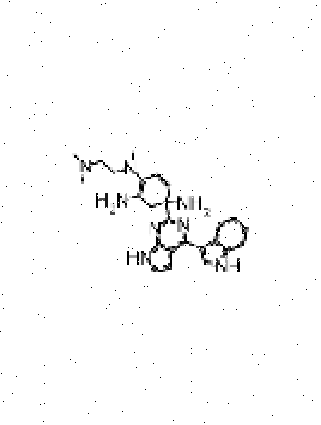 CN(C)CCN(C)C1=C(N)CC(N)(c2nc(-c3c[nH]c4ccccc34)c3cc[nH]c3n2)C=C1